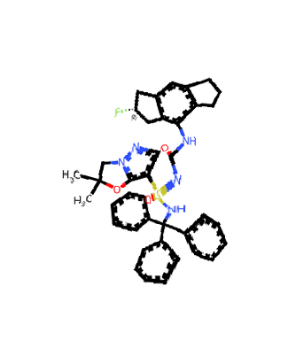 CC1(C)Cn2ncc(S(=O)(=NC(=O)Nc3c4c(cc5c3C[C@H](F)C5)CCC4)NC(c3ccccc3)(c3ccccc3)c3ccccc3)c2O1